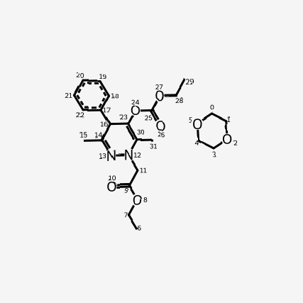 C1COCCO1.CCOC(=O)CN1N=C(C)C(c2ccccc2)C(OC(=O)OCC)=C1C